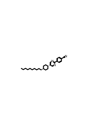 CCCCCCCCCC[C@H]1CC[C@H](c2cnc(-c3ccc(C#N)cc3)nc2)CC1